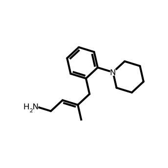 CC(=CCN)Cc1ccccc1N1CCCCC1